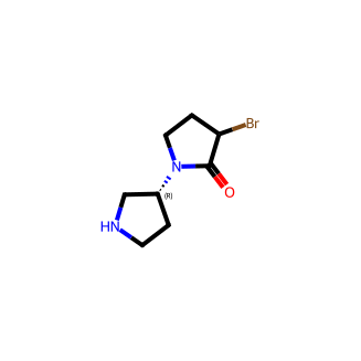 O=C1C(Br)CCN1[C@@H]1CCNC1